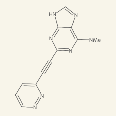 CNc1nc(C#Cc2cccnn2)nc2[nH]cnc12